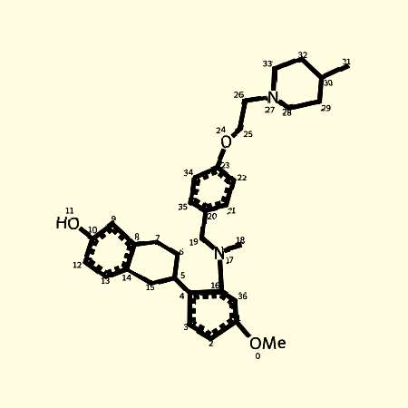 COc1ccc(C2CCc3cc(O)ccc3C2)c(N(C)Cc2ccc(OCCN3CCC(C)CC3)cc2)c1